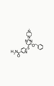 CN1CCN(c2ncc(Sc3ccc(C(N)=O)cn3)c(OCc3ccccc3)n2)CC1